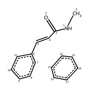 CNC(=O)C=Cc1ccccc1.c1ccccc1